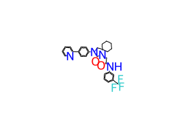 O=C(CN1C(=O)N(c2ccc(-c3ccccn3)cc2)CC12CCCCC2)Nc1cccc(C(F)(F)F)c1